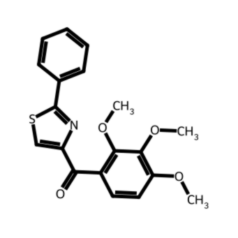 COc1ccc(C(=O)c2csc(-c3ccccc3)n2)c(OC)c1OC